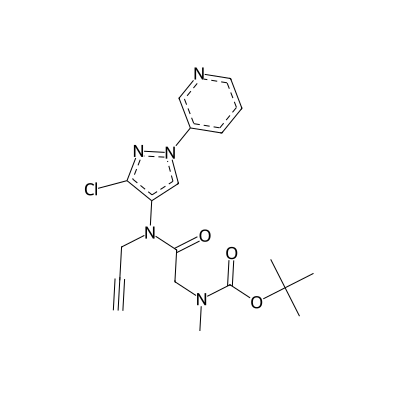 C#CCN(C(=O)CN(C)C(=O)OC(C)(C)C)c1cn(-c2cccnc2)nc1Cl